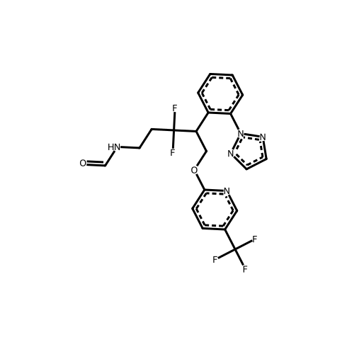 O=CNCCC(F)(F)C(COc1ccc(C(F)(F)F)cn1)c1ccccc1-n1nccn1